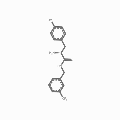 N[C@@H](Cc1ccc(O)cc1)C(=O)NCc1cccc(C(F)(F)F)c1